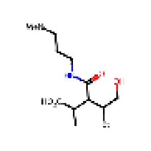 CCC(CO)C(C(=O)NCCCNC)C(C)C(=O)O